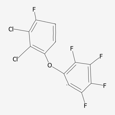 Fc1[c]c(Oc2ccc(F)c(Cl)c2Cl)c(F)c(F)c1F